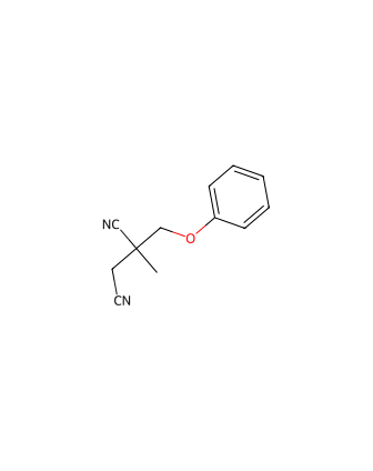 CC(C#N)(CC#N)COc1ccccc1